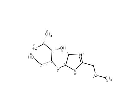 COCC1=NCC(O[C@H](CO)[C@@H](O)[C@@H](C)O)S1